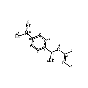 CC=C(C)OC(CC)c1ccc(N(CC)CC)cc1